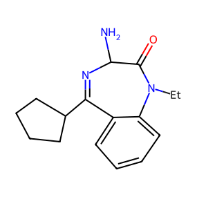 CCN1C(=O)C(N)N=C(C2CCCC2)c2ccccc21